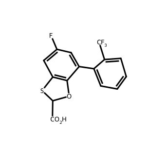 O=C(O)C1Oc2c(cc(F)cc2-c2ccccc2C(F)(F)F)S1